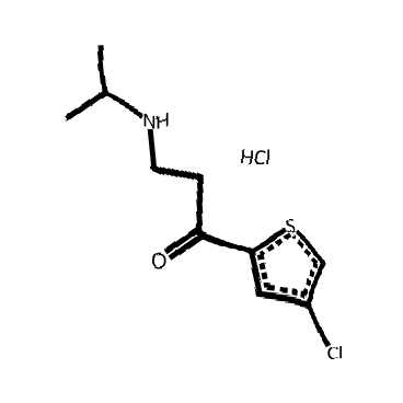 CC(C)NCCC(=O)c1cc(Cl)cs1.Cl